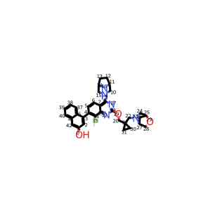 Oc1cc(-c2ccc3c(N4CC5CCC(C4)N5)nc(OCC4(CN5CC6CC5CO6)CC4)nc3c2F)c2ccccc2c1